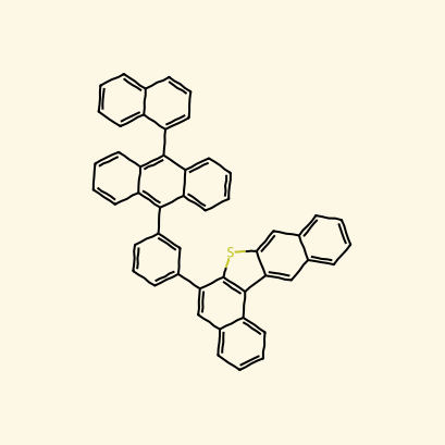 c1cc(-c2c3ccccc3c(-c3cccc4ccccc34)c3ccccc23)cc(-c2cc3ccccc3c3c2sc2cc4ccccc4cc23)c1